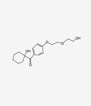 O=C(c1ccc(OCCOCCO)cc1)C1(O)CCCCC1